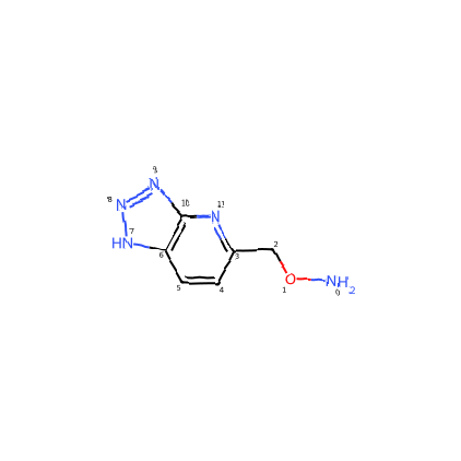 NOCc1ccc2[nH]nnc2n1